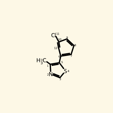 Cc1ncsc1-c1cccc(Cl)c1